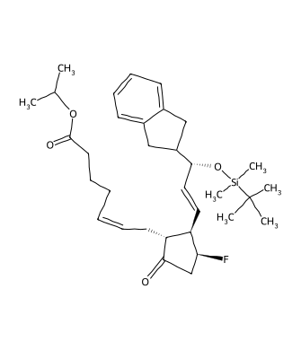 CC(C)OC(=O)CCC/C=C\C[C@H]1C(=O)C[C@H](F)[C@@H]1/C=C/[C@@H](O[Si](C)(C)C(C)(C)C)C1Cc2ccccc2C1